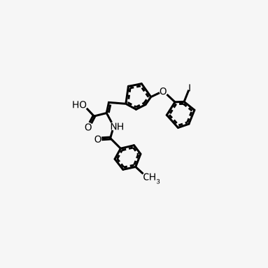 Cc1ccc(C(=O)N/C(=C\c2ccc(Oc3ccccc3I)cc2)C(=O)O)cc1